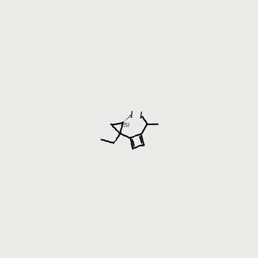 CCC1(C2=CC=C2C(C)I)C[C@@H]1I